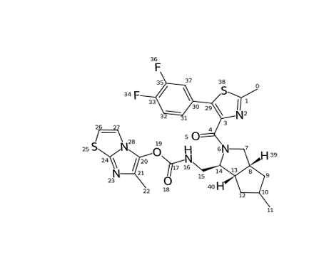 Cc1nc(C(=O)N2C[C@@H]3CC(C)C[C@@H]3[C@H]2CNC(=O)Oc2c(C)nc3sccn23)c(-c2ccc(F)c(F)c2)s1